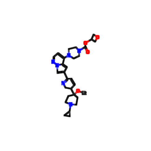 CCOC1(C2C=CC(c3cc4c(N5CCN(C(=O)OC6COC6)CC5)ccnn4c3)=NC2)CCN(C2CC2)CC1